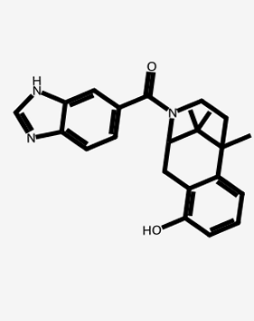 CC12CCN(C(=O)c3ccc4nc[nH]c4c3)C(Cc3c(O)cccc31)C2(C)C